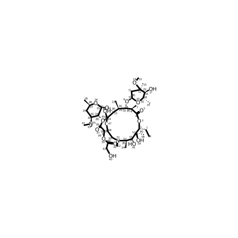 CC[C@H]1OC(=O)[C@H](C)[C@@H](O[C@H]2C[C@@](C)(OC)[C@@H](O)[C@H](C)O2)[C@H](C)[C@@H](O[C@@H]2O[C@H](C)C[C@H](N(C)C)[C@H]2OC(=O)COC(=O)CO)[C@](C)(O)C[C@@H](C)CN(C)[C@H](C)[C@@H](O)[C@]1(C)O